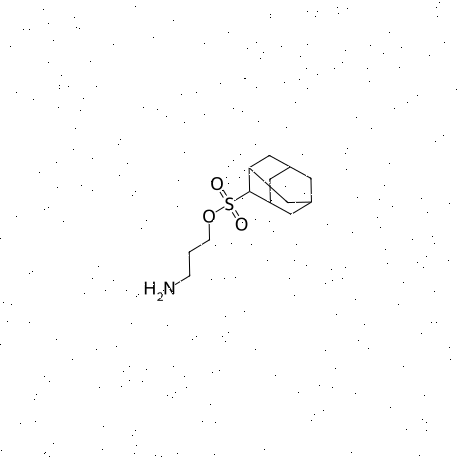 NCCCOS(=O)(=O)C1C2CC3CC(C2)CC1C3